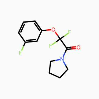 O=C(N1CCCC1)C(F)(F)Oc1cccc(F)c1